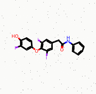 O=C(Cc1cc(I)c(Oc2ccc(O)c(I)c2)c(I)c1)Nc1ccccc1